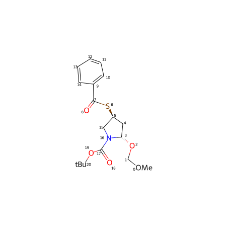 COCO[C@H]1C[C@H](SC(=O)c2ccccc2)CN1C(=O)OC(C)(C)C